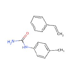 C=Cc1ccccc1.Cc1ccc(NC(N)=O)cc1